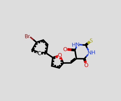 O=C1NC(=S)NC(=O)C1=Cc1ccc(-c2ccc(Br)cc2)o1